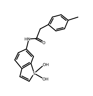 Cc1ccc(CC(=O)Nc2ccc3c(c2)S(O)(O)C=C3)cc1